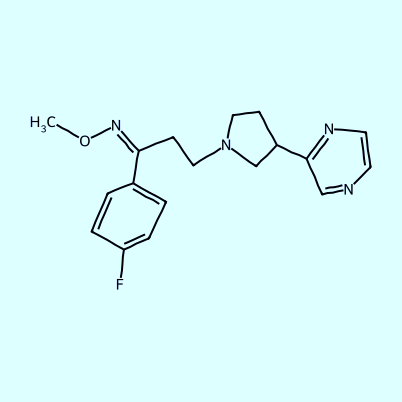 CO/N=C(/CCN1CCC(c2cnccn2)C1)c1ccc(F)cc1